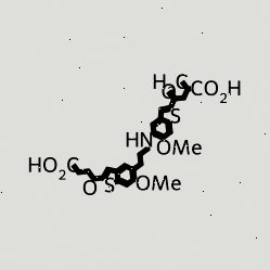 COc1cc2sc(C(=O)CCC(=O)O)cc2cc1CCCNc1cc2cc(C(=O)CC(C)C(=O)O)sc2cc1OC